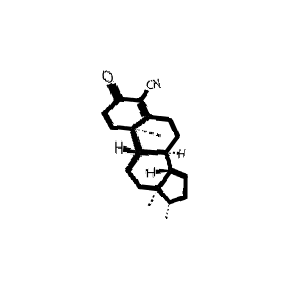 C[C@H]1CC[C@H]2[C@@H]3CCC4=C(C#N)C(=O)CC[C@]4(C)[C@H]3CC[C@]12C